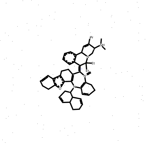 C=[N+]1C2=C(C=CCC2)N(C2CC=CC3CCC=CC32)C2=C(CCc3c2oc2c3C=CCC2)/C1=C1\c2ccccc2C2C=C(C(C)C)C([SiH](C)C)CN2C1(CC)CC